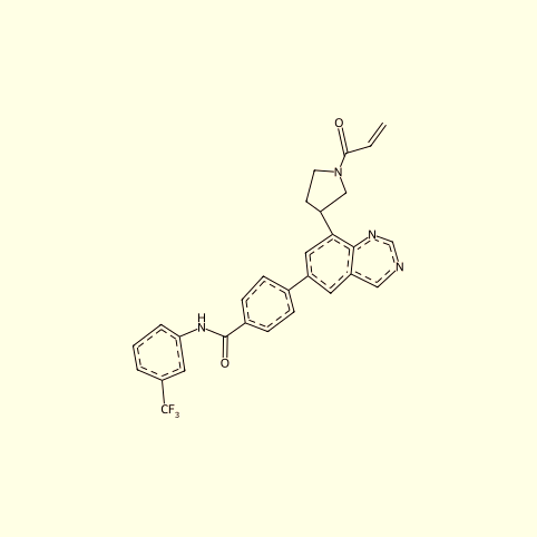 C=CC(=O)N1CCC(c2cc(-c3ccc(C(=O)Nc4cccc(C(F)(F)F)c4)cc3)cc3cncnc23)C1